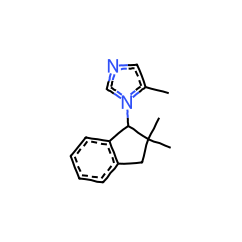 Cc1cncn1C1c2ccccc2CC1(C)C